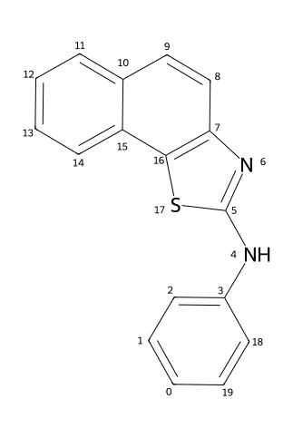 c1ccc(Nc2nc3ccc4ccccc4c3s2)cc1